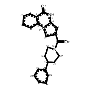 O=C(c1cc2[nH]c(=O)c3ccccc3n2c1)N1CCC(c2ccccc2)CC1